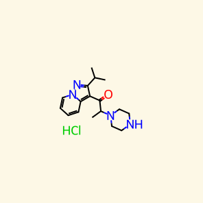 CC(C)c1nn2ccccc2c1C(=O)C(C)N1CCNCC1.Cl